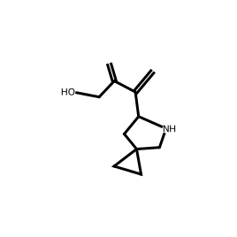 C=C(CO)C(=C)C1CC2(CC2)CN1